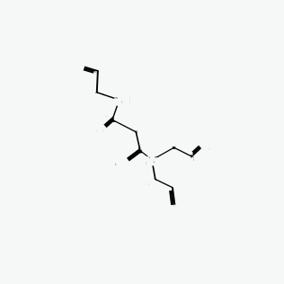 C=CCNC(=O)CC(=O)N(CC=C)CC=C